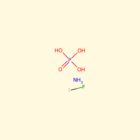 N.O=P(O)(O)O.[C]F